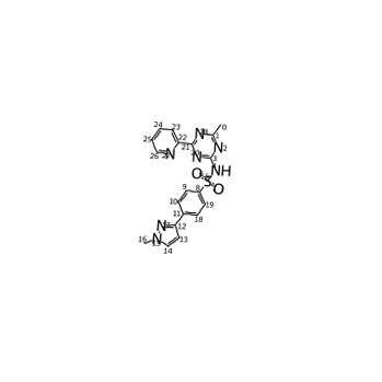 Cc1nc(NS(=O)(=O)c2ccc(-c3ccn(C)n3)cc2)nc(-c2ccccn2)n1